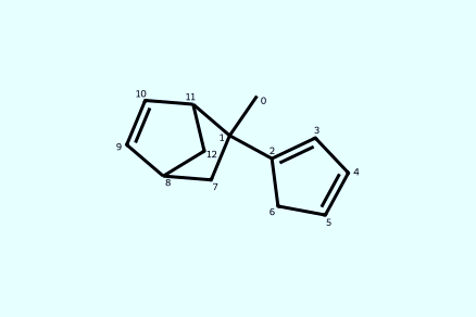 CC1(C2=CC=CC2)CC2C=CC1C2